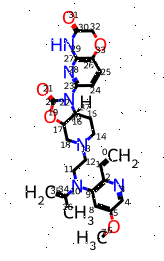 C=Cc1ncc(OC)cc1N(CCN1CC[C@@H]2C(C1)OC(=O)N2c1ccc2c(n1)NC(=O)CO2)C(=C)C